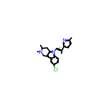 C/C(=C\n1c2c(c3cc(Cl)ccc31)CN(C)C(C)C2)c1ccc(C)nc1